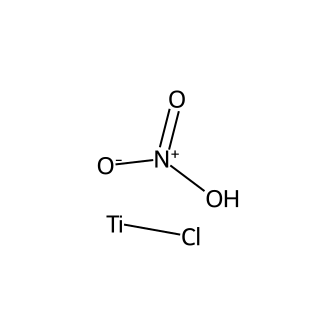 O=[N+]([O-])O.[Cl][Ti]